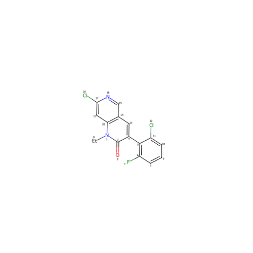 CCn1c(=O)c(-c2c(F)cccc2Cl)cc2cnc(Cl)cc21